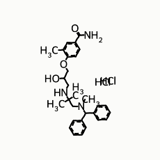 Cc1cc(C(N)=O)ccc1OCC(O)CNC(C)(C)CN(C)C(c1ccccc1)c1ccccc1.Cl.Cl